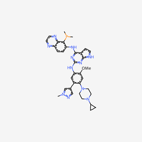 COc1cc(N2CCN(C3CC3)CC2)c(-c2cnn(C)c2)cc1Nc1nc(Nc2ccc3nccnc3c2P(C)C)c2cc[nH]c2n1